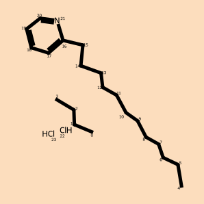 CCCC.CCCCCCCCCCCCc1ccccn1.Cl.Cl